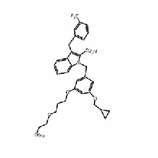 COCCOCCCOc1cc(Cn2c(C(=O)O)c(Cc3cccc(C(F)(F)F)c3)c3ccccc32)cc(OCC2CC2)c1